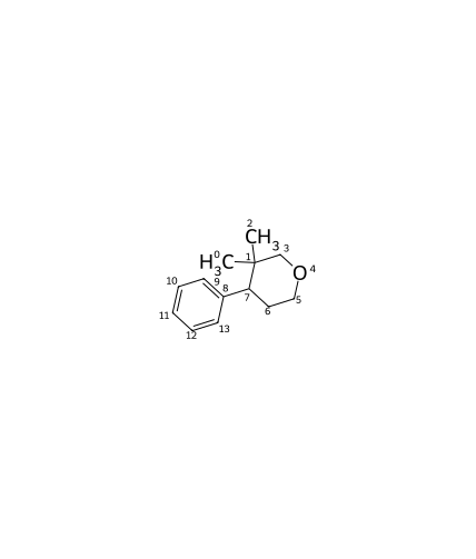 CC1(C)COCCC1c1ccccc1